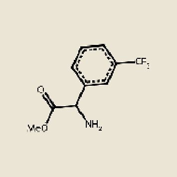 COC(=O)C(N)c1cccc(C(F)(F)F)c1